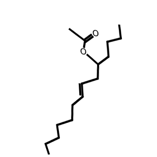 CCCCCCC=CCC(CCCC)OC(C)=O